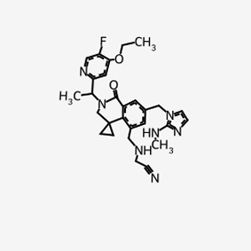 CCOc1cc(C(C)N2CC3(CC3)c3c(CNCC#N)cc(Cn4ccnc4NC)cc3C2=O)ncc1F